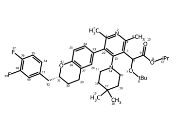 Cc1nc(C)c(C(OC(C)(C)C)C(=O)OC(C)C)c(N2CCC(C)(C)CC2)c1-c1ccc2c(c1)CC[C@H](Cc1ccc(F)c(F)c1)O2